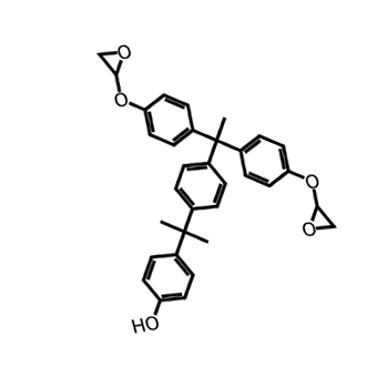 CC(C)(c1ccc(O)cc1)c1ccc(C(C)(c2ccc(OC3CO3)cc2)c2ccc(OC3CO3)cc2)cc1